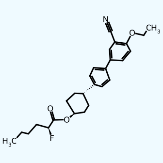 CCCC[C@H](F)C(=O)O[C@H]1CC[C@H](c2ccc(-c3ccc(OCC)c(C#N)c3)cc2)CC1